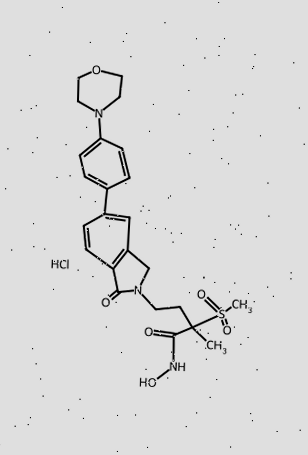 CC(CCN1Cc2cc(-c3ccc(N4CCOCC4)cc3)ccc2C1=O)(C(=O)NO)S(C)(=O)=O.Cl